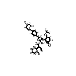 C=C/C(C(=O)Nc1sc(-c2ccc(N3CCN(C)CC3)cc2)nc1-c1cc(Cl)ccc1OC(F)F)=C1/N=CC=CN1C